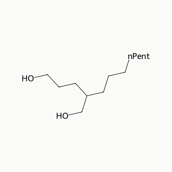 CCCCCCCCC(CO)CCCO